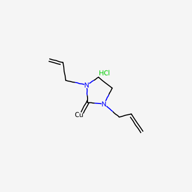 C=CCN1CCN(CC=C)[C]1=[Cu].Cl